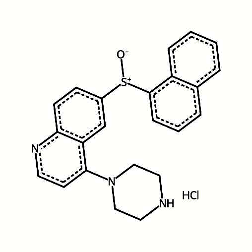 Cl.[O-][S+](c1ccc2nccc(N3CCNCC3)c2c1)c1cccc2ccccc12